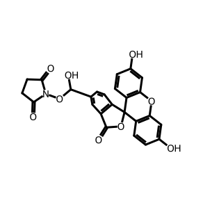 O=C1OC2(c3ccc(O)cc3Oc3cc(O)ccc32)c2ccc(C(O)ON3C(=O)CCC3=O)cc21